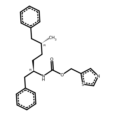 C[C@H](CC[C@H](Cc1ccccc1)NC(=O)OCc1cncs1)Cc1ccccc1